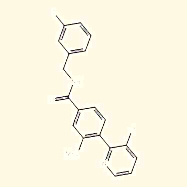 COc1cc(C(=O)NCc2cccc(F)c2)ccc1-c1ncccc1Cl